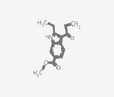 CCC(=O)c1c(CC)[nH]c2cc(C(=O)OC)ccc12